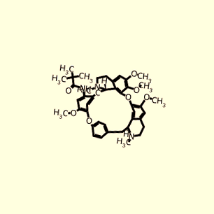 COc1cc(NC(=O)C(C)(C)C)c2cc1Oc1ccc(cc1)C[C@H]1c3cc(c(OC)cc3CCN1C)Oc1c(OC)c(OC)cc3c1[C@H](C2)N(C)CC3